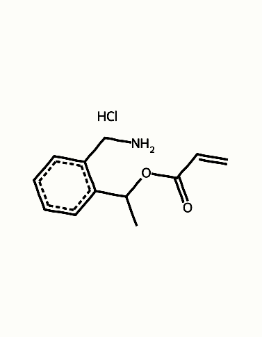 C=CC(=O)OC(C)c1ccccc1CN.Cl